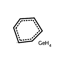 [GeH4].[c]1ccccc1